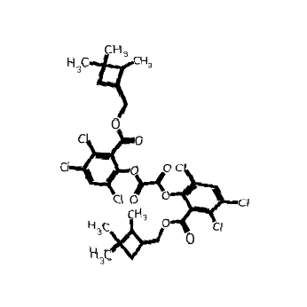 CC1C(COC(=O)c2c(Cl)c(Cl)cc(Cl)c2OC(=O)C(=O)Oc2c(Cl)cc(Cl)c(Cl)c2C(=O)OCC2CC(C)(C)C2C)CC1(C)C